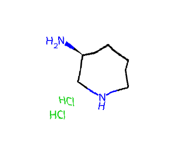 Cl.Cl.N[C@H]1CCCNC1